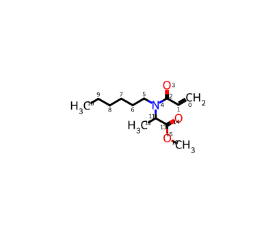 C=CC(=O)N(CCCCCC)C(C)C(=O)OC